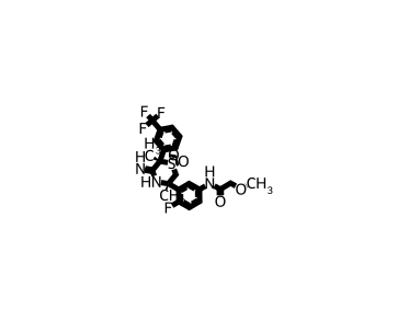 COCC(=O)Nc1ccc(F)c([C@]2(C)CS(=O)(=O)[C@@](C)(c3cccc(C(F)(F)F)c3)C(=N)N2)c1